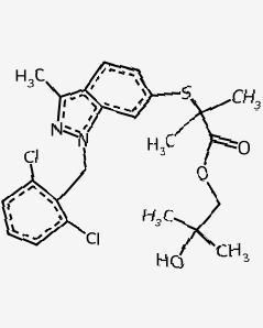 Cc1nn(Cc2c(Cl)cccc2Cl)c2cc(SC(C)(C)C(=O)OCC(C)(C)O)ccc12